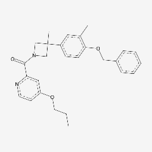 CCCOc1ccnc(C(=O)N2CC(C)(c3ccc(OCc4ccccc4)c(C)c3)C2)c1